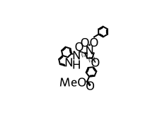 COC(=O)c1ccc(O[C@H]2C[C@@H](C(=O)Nc3cccc4cccnc34)N(C(=O)OCc3ccccc3)C2)cc1